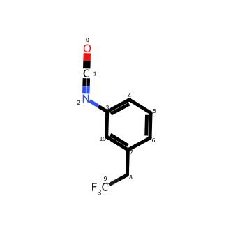 O=C=Nc1cccc(CC(F)(F)F)c1